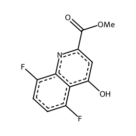 COC(=O)c1cc(O)c2c(F)ccc(F)c2n1